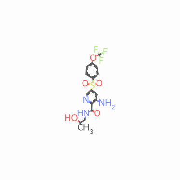 C[C@@H](O)CNC(=O)c1ncc(S(=O)(=O)c2ccc(OC(F)(F)F)cc2)cc1N